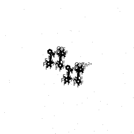 O=S(=O)([O-])c1c(F)c(F)c(F)c2c3nc4nc(nc5c6c(F)c(F)c(F)c(F)c6c(nc6nc(nc([nH]3)c12)-c1ccccc1-6)n5F)-c1c(F)c(F)c(F)c(F)c1-4.O=S(=O)([O-])c1c(F)c(F)c(F)c2c3nc4nc(nc5c6c(F)c(F)c(F)c(F)c6c(nc6nc(nc([nH]3)c12)-c1ccccc1-6)n5F)-c1c(F)c(F)c(F)c(F)c1-4.[Zn+2]